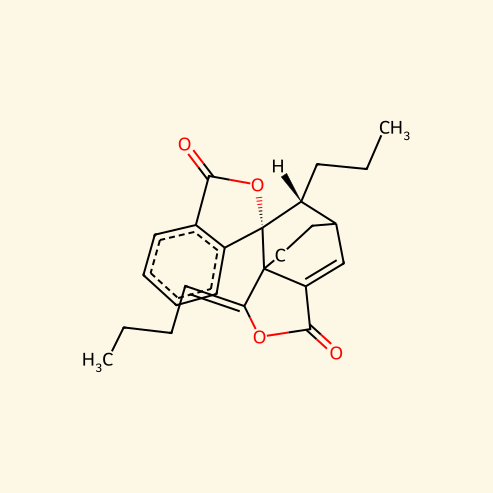 CCC/C=C1\OC(=O)C2=CC3CCC21[C@]1(OC(=O)c2ccccc21)[C@@H]3CCC